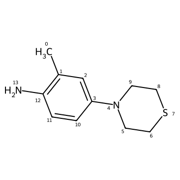 Cc1cc(N2CCSCC2)ccc1N